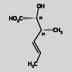 CC=C[C@@H](C)[C@@H](O)C(=O)O